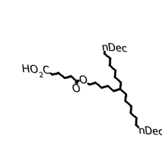 CCCCCCCCCCCCCCCCC(CCCCCCCCCCCCCCCC)CCCCCOC(=O)CCCCC(=O)O